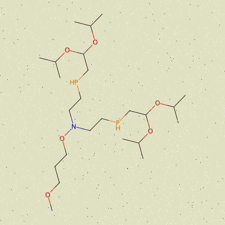 COCCCON(CCPCC(OC(C)C)OC(C)C)CCPCC(OC(C)C)OC(C)C